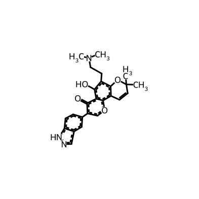 CN(C)CCc1c2c(c3occ(-c4ccc5[nH]ncc5c4)c(=O)c3c1O)C=CC(C)(C)O2